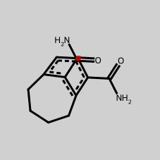 NC(=O)c1ccc2c(C(N)=O)c1CCCC2